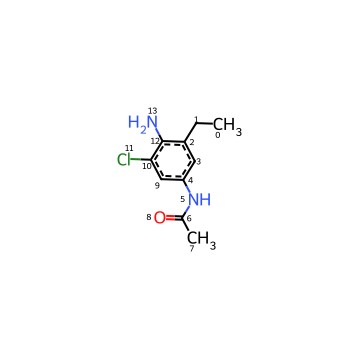 CCc1cc(NC(C)=O)cc(Cl)c1N